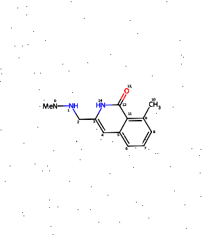 CNNCc1cc2cccc(C)c2c(=O)[nH]1